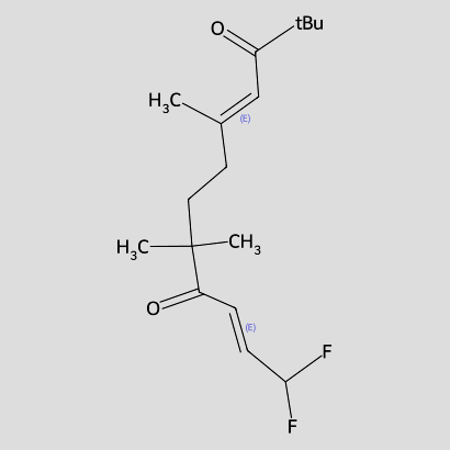 C/C(=C\C(=O)C(C)(C)C)CCC(C)(C)C(=O)/C=C/C(F)F